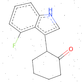 O=C1CCCCC1c1c[nH]c2cccc(F)c12